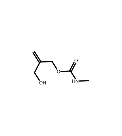 C=C(CO)COC(=O)NC